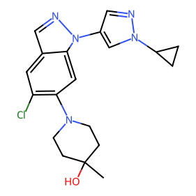 CC1(O)CCN(c2cc3c(cnn3-c3cnn(C4CC4)c3)cc2Cl)CC1